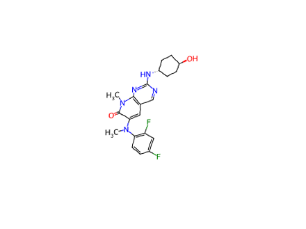 CN(c1ccc(F)cc1F)c1cc2cnc(N[C@H]3CC[C@H](O)CC3)nc2n(C)c1=O